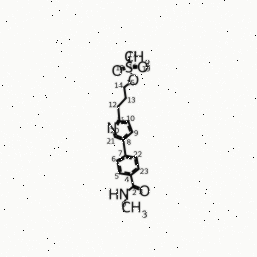 CNC(=O)c1ccc(-c2ccc(CCCOS(C)(=O)=O)nc2)cc1